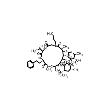 CCCCN1CC(=O)NC(C(C)C)C(=O)N[C@H](CCc2ccccc2)C(=O)N(C)C[C@H](C)C[C@@](C)(O)[C@H](O[C@@H]2O[C@H](C)C[C@H](N(C)C)[C@H]2O)[C@@H](C)[C@H](O[C@H]2C[C@@](C)(OC)[C@@H](O)[C@H](C)O2)[C@@H](C)C1=O